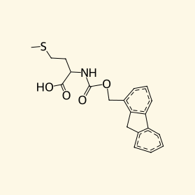 CSCCC(NC(=O)OCc1cccc2c1Cc1ccccc1-2)C(=O)O